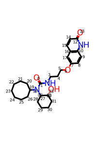 O=C(NCCCOc1ccc2[nH]c(=O)ccc2c1)N(C1CCCCCCC1)[C@@H]1CCCC[C@H]1O